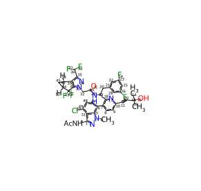 CC(=O)Nc1nn(C)c2c(-c3ccc(C#CC(C)(C)O)nc3C(Cc3cc(F)cc(F)c3)NC(=O)Cn3nc(C(F)F)c4c3C(F)(F)[C@@H]3C[C@H]43)ccc(Cl)c12